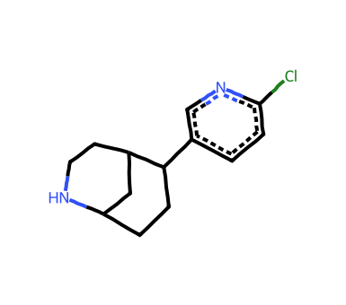 Clc1ccc(C2CCC3CC2CCN3)cn1